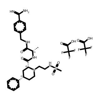 C[C@H](NC(=O)[C@H]1C[C@@H](c2ccccc2)CCN1CCNS(C)(=O)=O)C(=O)NCc1ccc(C(=N)N)cc1.O=C(O)C(F)(F)F.O=C(O)C(F)(F)F